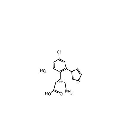 Cl.NC[C@H](CC(=O)O)c1ccc(Cl)cc1-c1ccsc1